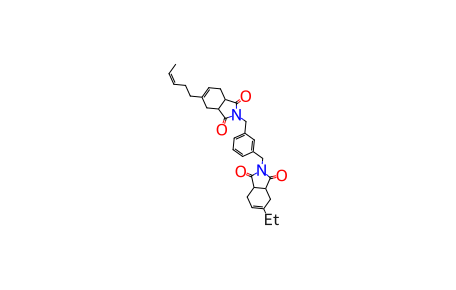 C/C=C\CCC1=CCC2C(=O)N(Cc3cccc(CN4C(=O)C5CC=C(CC)CC5C4=O)c3)C(=O)C2C1